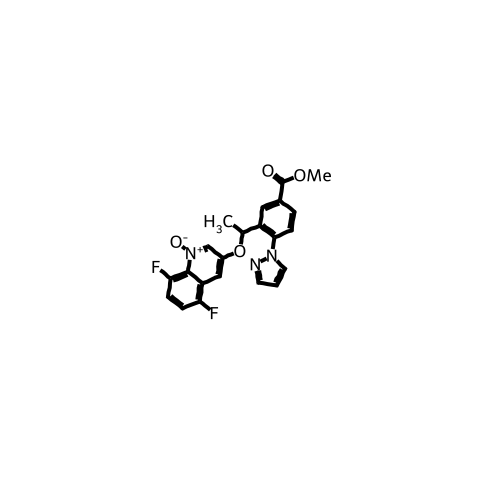 COC(=O)c1ccc(-n2cccn2)c(C(C)Oc2cc3c(F)ccc(F)c3[n+]([O-])c2)c1